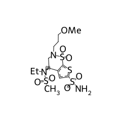 CCN([C@H]1CN(CCCOC)S(=O)(=O)c2sc(S(N)(=O)=O)cc21)S(C)(=O)=O